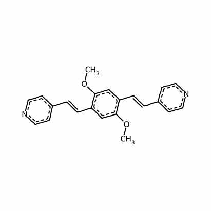 COc1cc(C=Cc2ccncc2)c(OC)cc1C=Cc1ccncc1